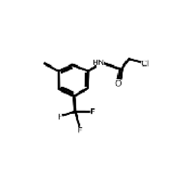 Cc1cc(NC(=O)CCl)cc(C(F)(F)F)c1